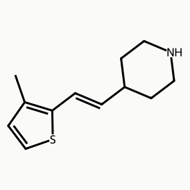 Cc1ccsc1/C=C/C1CCNCC1